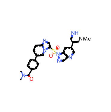 CN/C=C(\C=N)c1cnc2cnn(S(=O)(=O)c3cnc4ccc(-c5ccc(C(=O)N(C)C)cc5)cn34)c2c1